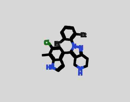 CCc1cccc(CC)c1-n1nc2c(c1-c1cc(Cl)c(C)c3[nH]ccc13)CNCC2